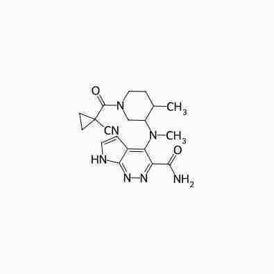 CC1CCN(C(=O)C2(C#N)CC2)CC1N(C)c1c(C(N)=O)nnc2[nH]ccc12